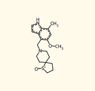 COc1cc(C)c2[nH]ccc2c1CN1CCC2(CCC[S+]2[O-])CC1